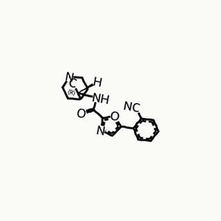 N#Cc1ccccc1-c1cnc(C(=O)N[C@H]2CN3CCC2CC3)o1